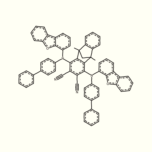 CC12CC(C)(c3ccccc31)c1c(N(c3ccc(-c4ccccc4)cc3)c3cccc4c3oc3ccccc34)c(C#N)c(C#N)c(N(c3ccc(-c4ccccc4)cc3)c3cccc4c3oc3ccccc34)c12